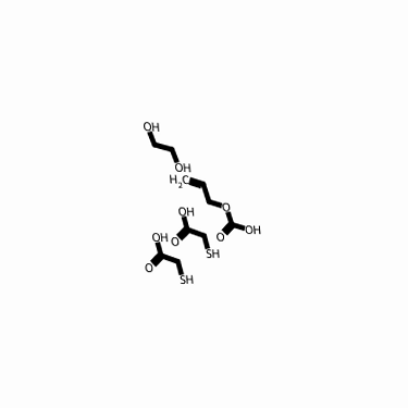 C=CCOC(=O)O.O=C(O)CS.O=C(O)CS.OCCO